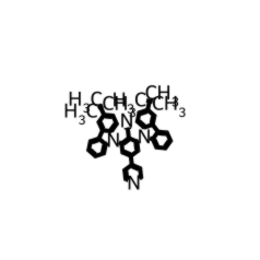 CC(C)(C)c1ccc2c(c1)c1ccccc1n2-c1cc(-c2ccncc2)cc(-n2c3ccccc3c3cc(C(C)(C)C)ccc32)c1C#N